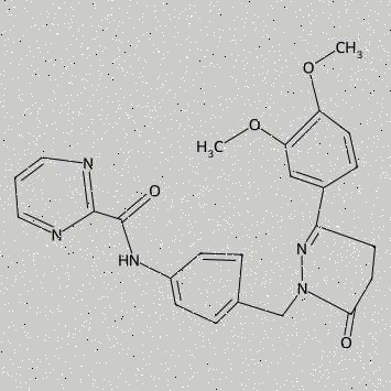 COc1ccc(C2=NN(Cc3ccc(NC(=O)c4ncccn4)cc3)C(=O)CC2)cc1OC